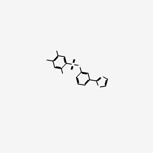 Cc1cc(S(=O)(=O)Nc2cccc(-c3nccs3)c2)c(C)cc1Cl